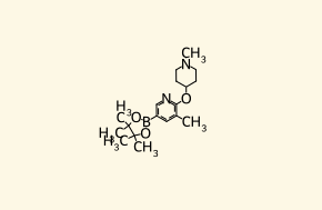 Cc1cc(B2OC(C)(C)C(C)(C)O2)cnc1OC1CCN(C)CC1